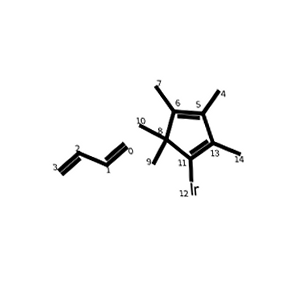 C=CC=C.CC1=C(C)C(C)(C)[C]([Ir])=C1C